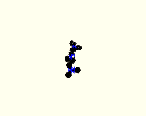 C=C/C=C\C(=C/C)n1c2c(c3cc(-c4ccc(-n5c6ccccc6c6c(-c7cccc(-c8nc(-c9ccccc9)nc(-c9ccccc9)n8)c7)cccc65)nc4)ccc31)CCC=C2